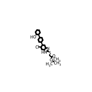 CC(C)(C)OC(=O)CSc1nc2cc(-c3ccc(-c4ccccc4O)cc3)c(Cl)cc2[nH]1